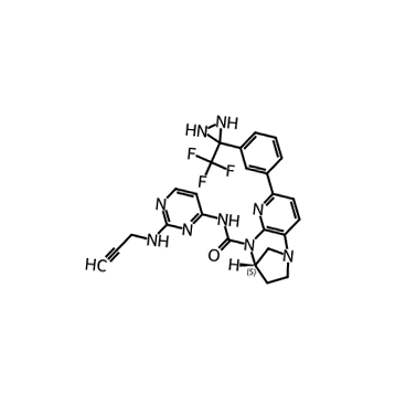 C#CCNc1nccc(NC(=O)N2c3nc(-c4cccc(C5(C(F)(F)F)NN5)c4)ccc3N3CC[C@H]2C3)n1